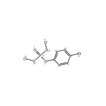 CCc1ccc(OP(=O)(OCl)OCl)cc1